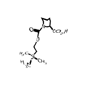 C[Si](C)(C)CCOC(=O)N1CCC1C(=O)O